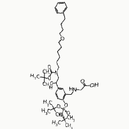 CC(C)(C)OC(=O)N(CCCCCCOCCCCc1ccccc1)CC(O)c1ccc(OP(=O)(OC(C)(C)C)OC(C)(C)C)c(CNCC(=O)O)c1